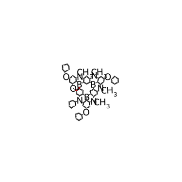 CN1c2cc3c(cc2B2c4ccccc4Oc4cc(Oc5ccccc5)cc1c42)B1c2cc4c(cc2N(C)c2cc(Oc5ccccc5)cc(c21)N3C)N(C)c1cc(Oc2ccccc2)cc2c1B4c1ccccc1N2c1ccccc1